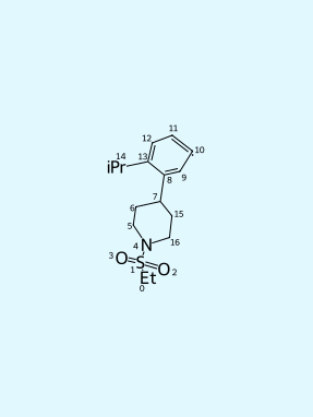 CCS(=O)(=O)N1CCC(c2c[c]ccc2C(C)C)CC1